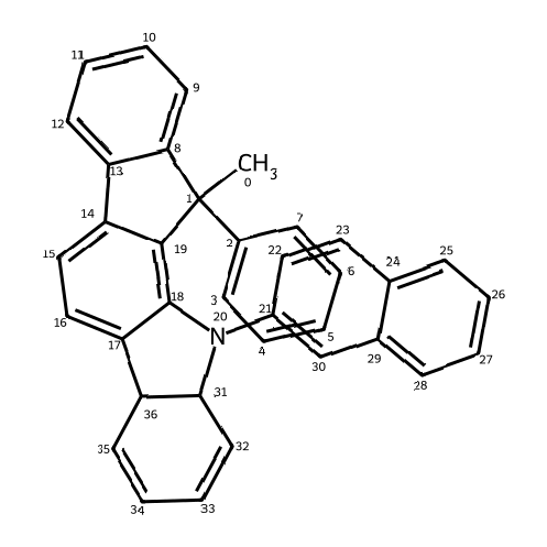 CC1(c2ccccc2)c2ccccc2-c2ccc3c(c21)N(c1ccc2ccccc2c1)C1C=CC=CC31